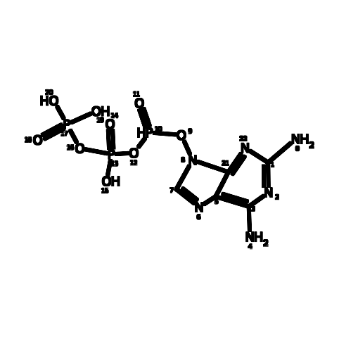 Nc1nc(N)c2ncn(O[PH](=O)OP(=O)(O)OP(=O)(O)O)c2n1